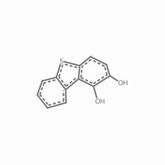 Oc1ccc2sc3ccccc3c2c1O